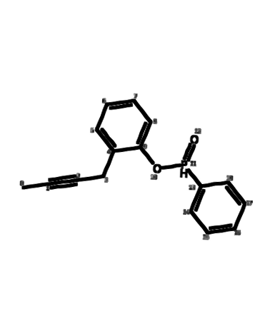 CC#CCc1ccccc1O[PH](=O)c1ccccc1